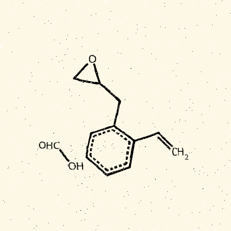 C=Cc1ccccc1CC1CO1.O=CO